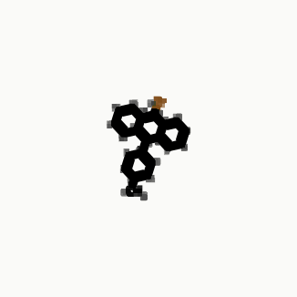 Cc1ccc(-c2c3ccccc3c(Br)c3ccccc23)cc1